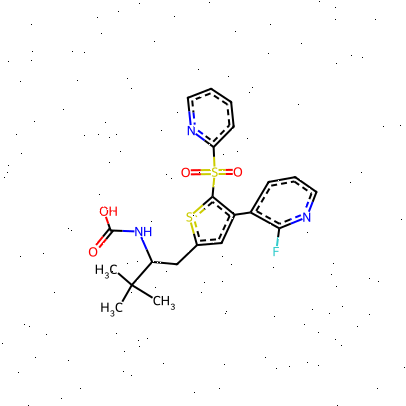 CC(C)(C)C(Cc1cc(-c2cccnc2F)c(S(=O)(=O)c2ccccn2)s1)NC(=O)O